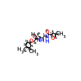 C=C(CCNC(=O)c1cc(C)co1)NC(=O)COc1ccc(C)c(C)c1